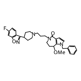 COC1CCN(CCCN2CCC(c3noc4cc(F)ccc34)CC2)C(=O)c2ccn(Cc3ccccc3)c21